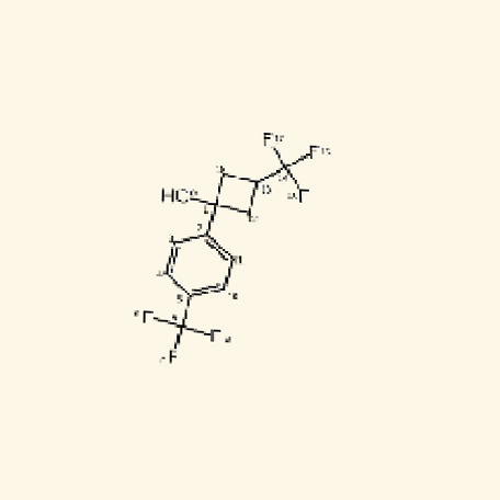 OC1(c2ccc(C(F)(F)F)cc2)CC(C(F)(F)F)C1